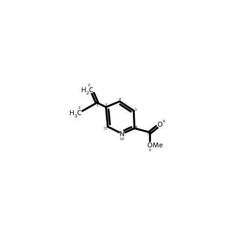 C=C(C)c1ccc(C(=O)OC)nc1